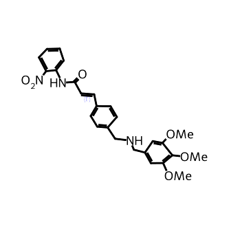 COc1cc(CNCc2ccc(/C=C/C(=O)Nc3ccccc3[N+](=O)[O-])cc2)cc(OC)c1OC